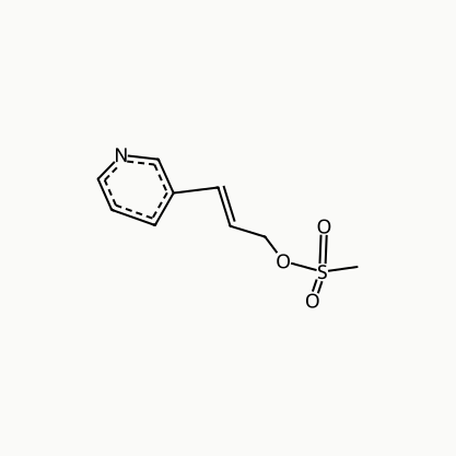 CS(=O)(=O)OCC=Cc1cccnc1